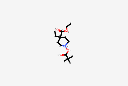 CCOC(=O)C1(CC)CCN(OC(=O)C(C)(C)C)CC1